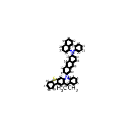 CC1(C)c2ccccc2N(c2ccc3cc4cc(N(c5ccccc5)c5cccc6ccccc56)ccc4cc3c2)c2cc3sc4ccccc4c3cc21